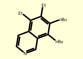 CCCCc1c(CC)c(CC)c2ccncc2c1CCCC